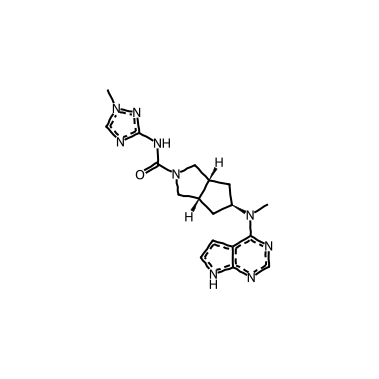 CN(c1ncnc2[nH]ccc12)[C@H]1C[C@@H]2CN(C(=O)Nc3ncn(C)n3)C[C@@H]2C1